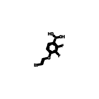 CCC=COc1ccc(B(O)O)c(F)c1F